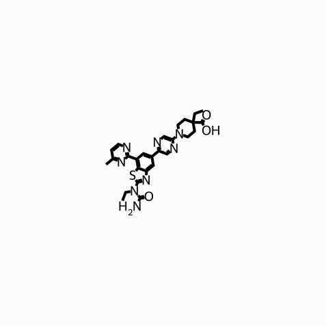 CCN(C(N)=O)c1nc2cc(-c3cnc(N4CCC(CC)(C(=O)O)CC4)cn3)cc(-c3nccc(C)n3)c2s1